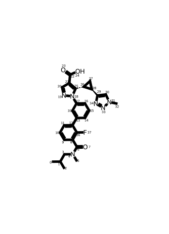 CC(C)CN(C)C(=O)c1cccc(-c2cccc(-n3ncc(C(=O)O)c3[C@@H]3C[C@H]3c3cn(C)nn3)c2)c1F